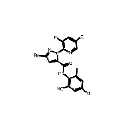 Cc1cc(Cl)cc(C#N)c1NC(=O)c1cc(Br)nn1-c1ncc(Cl)cc1F